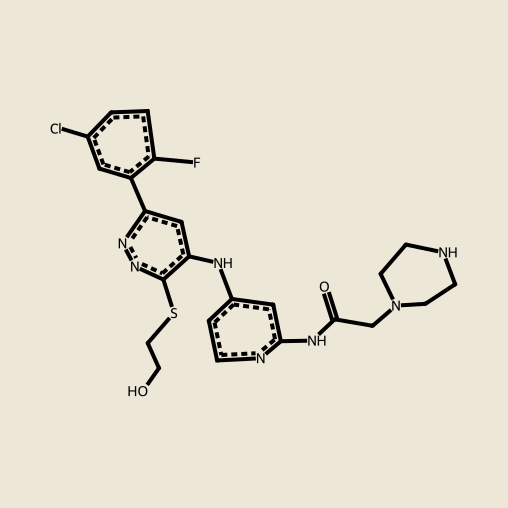 O=C(CN1CCNCC1)Nc1cc(Nc2cc(-c3cc(Cl)ccc3F)nnc2SCCO)ccn1